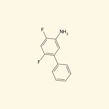 Nc1cc(-c2ccccc2)c(F)cc1F